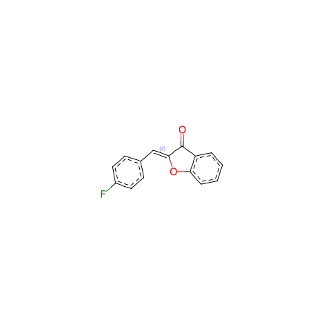 O=C1/C(=C/c2ccc(F)cc2)Oc2ccccc21